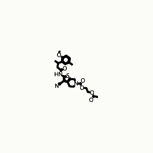 COc1ccc(C)cc1C(C)CC(=O)Nc1sc2c(c1C#N)CCN(C(=O)OCCOC(C)=O)C2